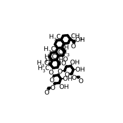 CC1(C)[C@@H](O[C@H]2OC(OC=O)[C@H](O)[C@H](O)C2O[C@@H]2OC(OC=O)[C@@H](O)[C@H](O)C2O)CC[C@]2(C)[C@H]3C(=O)C=C4[C@@H]5C[C@@](C)(C(=O)O)CC[C@]5(C)CC[C@@]4(C)[C@]3(C)CC[C@@H]12